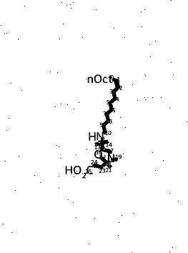 CCCCCCCC/C=C\CCCCCCCCNC(C)(C)C(=O)CN(C)C(C)(C)CCC(=O)O